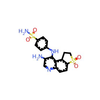 Nc1cnc2ccc3c(c2c1Nc1ccc(S(N)(=O)=O)cc1)CCS3(=O)=O